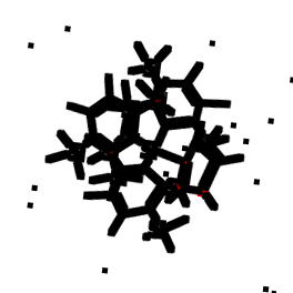 CC1=C(C)C(C)C([Si](c2c([Si](C)(C)C)c(C)c(C)c([Si](C)(C)C)c2[Si](C)(C)C)(c2c([Si](C)(C)C)c(C)c(C)c([Si](C)(C)C)c2[Si](C)(C)C)c2c([Si](C)(C)C)c(C)c(C)c([Si](C)(C)C)c2[Si](C)(C)C)=C1C